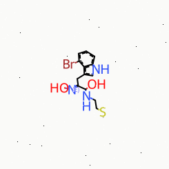 CSCCNC(O)/C(Cc1c[nH]c2cccc(Br)c12)=N/O